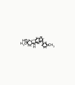 Cc1cccc(-c2cnc3ccc(NC4CCC(C)(O)CC4)nn23)c1